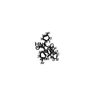 Cc1ccc(C2=C3C(=O)N(C(c4ccccc4)(C(C)(C)C)C(C)(C)C)C(c4ccc(C)cc4)=C3C(=O)N2)cc1